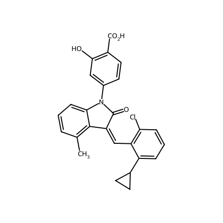 Cc1cccc2c1/C(=C/c1c(Cl)cccc1C1CC1)C(=O)N2c1ccc(C(=O)O)c(O)c1